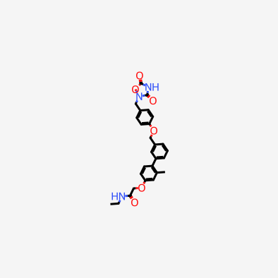 CCNC(=O)COc1ccc(-c2cccc(COc3ccc(Cn4oc(=O)[nH]c4=O)cc3)c2)c(C)c1